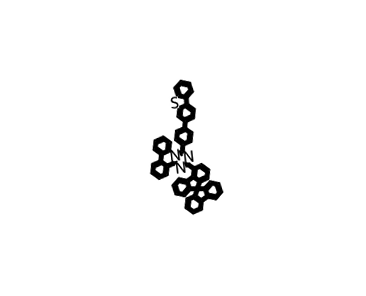 C1=CC2=C(CC1)c1ccccc1C21c2ccccc2-c2c(-c3nc(-c4ccc(-c5ccc6c(c5)sc5ccccc56)cc4)nc(-c4ccccc4-c4ccccc4)n3)cccc21